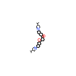 CC(C)C1CCN(c2ccc3cc4c(cc3c2)oc2c4ccc3oc4cc5cc(N6CCC(C(C)C)CC6)ccc5cc4c32)CC1